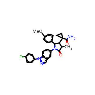 COc1ccc(C2C(C3(C(N)=O)CC3)C(C)C(=O)N2c2ccc3c(cnn3-c3ccc(F)cc3)c2)cc1